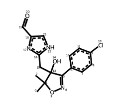 CC1(C)ON=C(c2ccc(Cl)cc2)C1(O)Cc1nc(C=O)c[nH]1